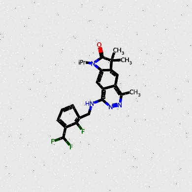 Cc1nnc(NCc2cccc(C(F)F)c2F)c2cc3c(cc12)C(C)(C)C(=O)N3C(C)C